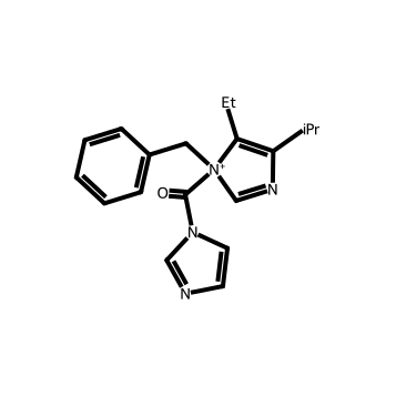 CCC1=C(C(C)C)N=C[N+]1(Cc1ccccc1)C(=O)n1ccnc1